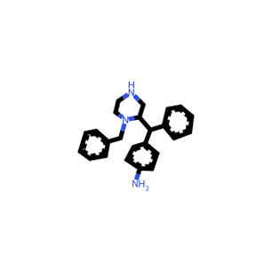 Nc1ccc(C(c2ccccc2)C2CNCCN2Cc2ccccc2)cc1